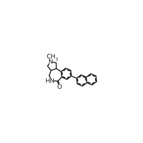 CN1CC2CNC(=O)c3cc(-c4ccc5ccccc5c4)ccc3C2C1